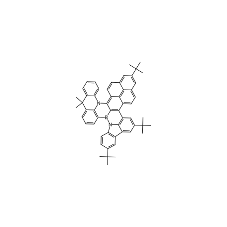 CC(C)(C)c1cc2ccc3c4c5c(c6ccc(c1)c2c36)N1c2ccccc2C(C)(C)c2cccc(c21)B5n1c2ccc(C(C)(C)C)cc2c2cc(C(C)(C)C)cc-4c21